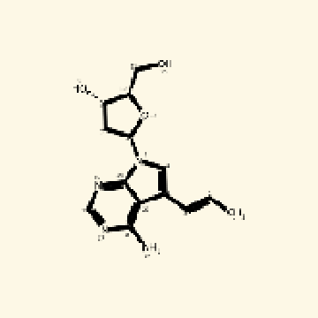 CC=Cc1cn([C@H]2C[C@H](O)[C@@H](CO)O2)c2ncnc(N)c12